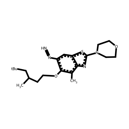 Cc1c(OCCC(C)CC(C)(C)C)c(N=N)cc2sc(N3CCOCC3)nc12